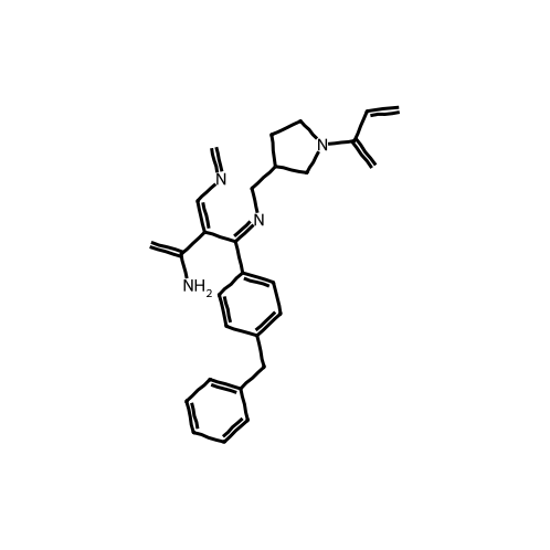 C=CC(=C)N1CCC(C/N=C(\C(=C/N=C)C(=C)N)c2ccc(Cc3ccccc3)cc2)C1